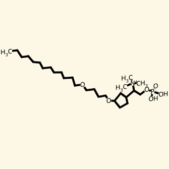 CCCCCCCCCCCCCOCCCCOC1CCC(C(COP(=O)(O)O)[N+](C)(C)C)C1